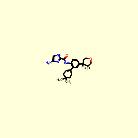 CC1(C)CC=C(c2cc(C3(C(=O)O)CCOCC3)ccc2NC(=O)c2nc(N)c[nH]2)CC1